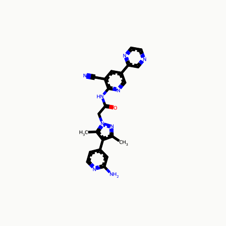 Cc1nn(CC(=O)Nc2ncc(-c3cnccn3)cc2C#N)c(C)c1-c1ccnc(N)c1